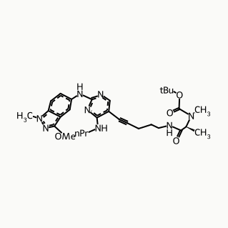 CCCNc1nc(Nc2ccc3c(c2)c(OC)nn3C)ncc1C#CCCCNC(=O)[C@H](C)N(C)C(=O)OC(C)(C)C